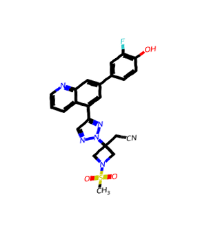 CS(=O)(=O)N1CC(CC#N)(n2ncc(-c3cc(-c4ccc(O)c(F)c4)cc4ncccc34)n2)C1